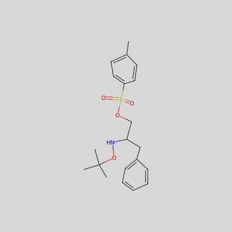 Cc1ccc(S(=O)(=O)OCC(Cc2ccccc2)NOC(C)(C)C)cc1